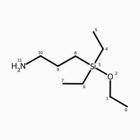 CCO[Si](CC)(CC)CCCN